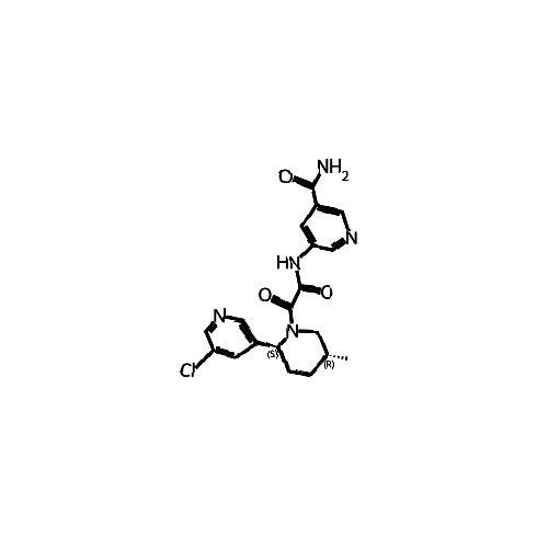 C[C@@H]1CC[C@@H](c2cncc(Cl)c2)N(C(=O)C(=O)Nc2cncc(C(N)=O)c2)C1